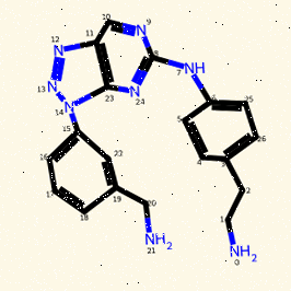 NCCc1ccc(Nc2ncc3nnn(-c4cccc(CN)c4)c3n2)cc1